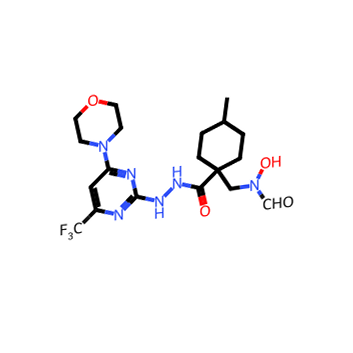 CC1CCC(CN(O)C=O)(C(=O)NNc2nc(N3CCOCC3)cc(C(F)(F)F)n2)CC1